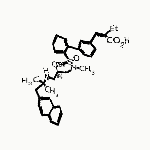 CCC(=Cc1cccc(-c2ccccc2S(=O)(=O)N(C)C[C@H](O)CNC(C)(C)Cc2ccc3ccccc3c2)c1)C(=O)O